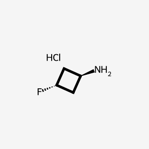 Cl.N[C@H]1C[C@H](F)C1